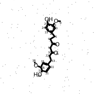 COc1cc(CCC(=O)CC(=O)CCC2=CC(OC)C(O)C=C2)ccc1O